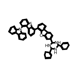 C1=CCCC(C2NC(C3=CCCC=C3)NC(c3ccc4c(c3)oc3c(-c5cccc6c5sc5cccc(-n7c8ccccc8c8ccccc87)c56)cccc34)N2)=C1